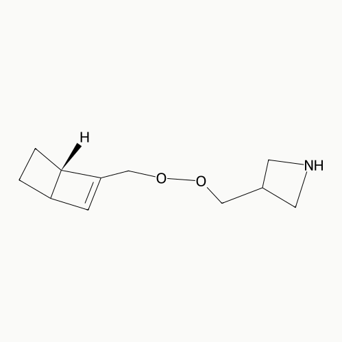 C1=C(COOCC2CNC2)[C@H]2CCC12